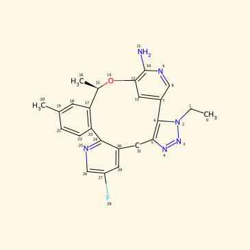 CCn1nnc2c1-c1cnc(N)c(c1)O[C@H](C)c1cc(C)ccc1-c1ncc(F)cc1C2